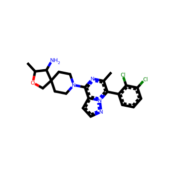 Cc1nc(N2CCC3(CC2)COC(C)C3N)c2ccnn2c1-c1cccc(Cl)c1Cl